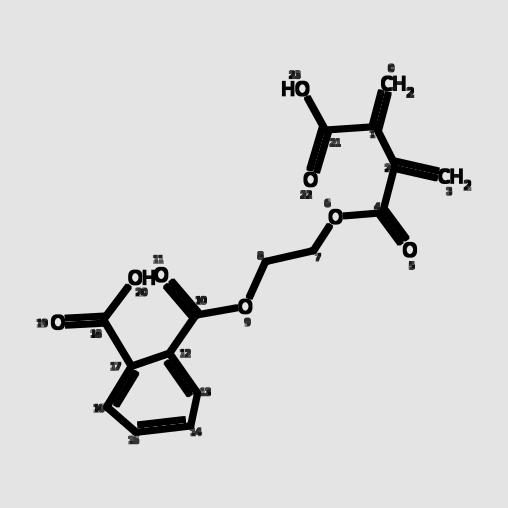 C=C(C(=C)C(=O)OCCOC(=O)c1ccccc1C(=O)O)C(=O)O